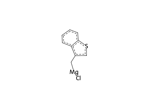 [Cl][Mg][CH2]c1csc2ccccc12